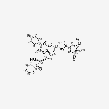 COc1cc(C2CCC(c3cc(OC)c(OC)c(OC)c3)O2)cc(CC#CN(O)C(=O)C2CCCCC2)c1OC(C)Sc1ccc(F)cc1